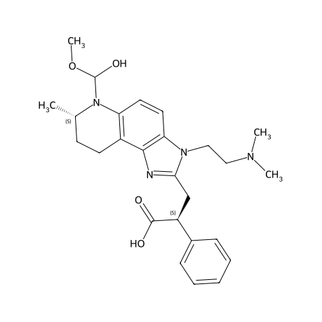 COC(O)N1c2ccc3c(nc(C[C@H](C(=O)O)c4ccccc4)n3CCN(C)C)c2CC[C@@H]1C